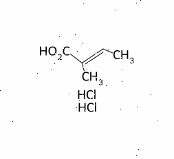 CC=C(C)C(=O)O.Cl.Cl